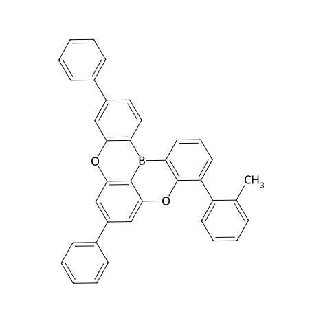 Cc1ccccc1-c1cccc2c1Oc1cc(-c3ccccc3)cc3c1B2c1ccc(-c2ccccc2)cc1O3